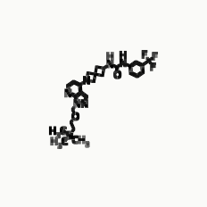 C[Si](C)(C)CCOCn1ncc2c(N3CC4(CC(NC(=O)Nc5cccc(C(F)(F)F)c5)C4)C3)ccnc21